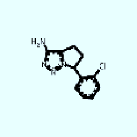 Nc1nnn2c1CCC2c1ccccc1Cl